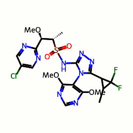 COc1ncnc(OC)c1-n1c(NS(=O)(=O)[C@@H](C)[C@H](OC)c2ncc(Cl)cn2)nnc1C1C(C)C1(F)F